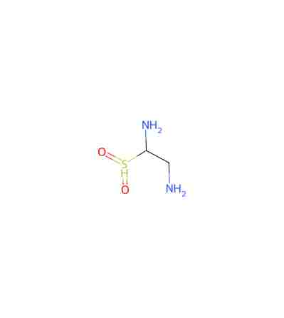 NCC(N)[SH](=O)=O